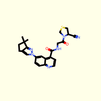 CC1(C)CCc2cn(-c3ccc4nccc(C(=O)NCC(=O)N5CSCC5C#N)c4c3)nc21